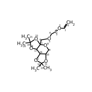 C=COCCOCC12OCC3OC(C)(C)OC3C1OC(C)(C)O2